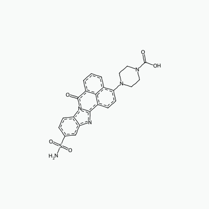 NS(=O)(=O)c1ccc2c(c1)nc1c3ccc(N4CCN(C(=O)O)CC4)c4cccc(c(=O)n21)c43